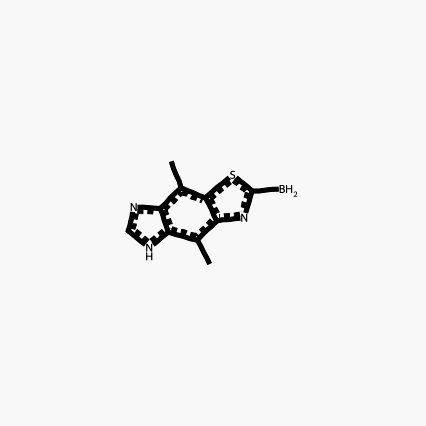 Bc1nc2c(C)c3[nH]cnc3c(C)c2s1